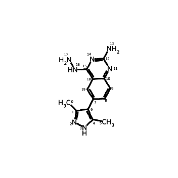 Cc1n[nH]c(C)c1-c1ccc2nc(N)nc(NN)c2c1